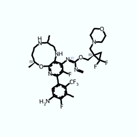 C=N/C(=N\c1c(F)c(-c2cc(N)c(F)c(C)c2C(F)(F)F)nc2c1NCC(C)NCC[C@H](C)O2)OC[C@@]1(CN2CCOCC2)CC1(F)F